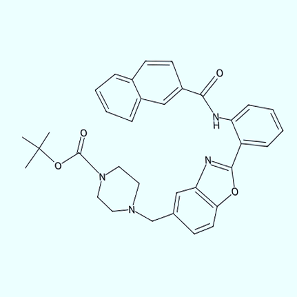 CC(C)(C)OC(=O)N1CCN(Cc2ccc3oc(-c4ccccc4NC(=O)c4ccc5ccccc5c4)nc3c2)CC1